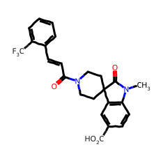 CN1C(=O)C2(CCN(C(=O)C=Cc3ccccc3C(F)(F)F)CC2)c2cc(C(=O)O)ccc21